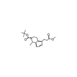 COC(=O)CCc1cccc2c1CCN(C(=O)OC(C)(C)C)C2C